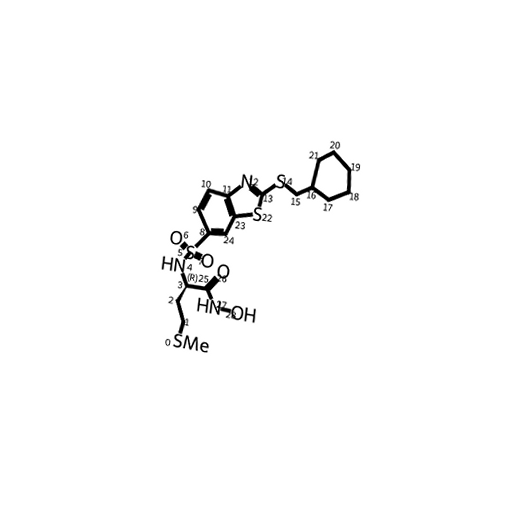 CSCC[C@@H](NS(=O)(=O)c1ccc2nc(SCC3CCCCC3)sc2c1)C(=O)NO